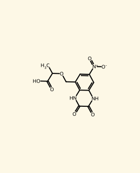 CC(OCc1cc([N+](=O)[O-])cc2[nH]c(=O)c(=O)[nH]c12)C(=O)O